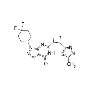 Cc1nnc(C2CCC2c2nc3c(cnn3C3CCC(F)(F)CC3)c(=O)[nH]2)s1